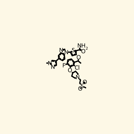 CC(Oc1cc(-n2cnc3cc(-c4cnn(C)c4)ccc32)sc1C(N)=O)c1ccc(F)c(OC2CCN(CCS(C)(=O)=O)CC2)c1Cl